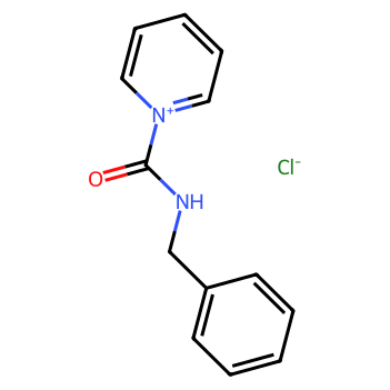 O=C(NCc1ccccc1)[n+]1ccccc1.[Cl-]